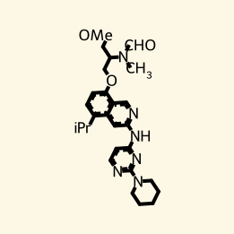 COCC(COc1ccc(C(C)C)c2cc(Nc3ccnc(N4CCCCC4)n3)ncc12)N(C)C=O